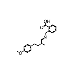 COc1ccc(CCC(C)C=NCc2ccccc2C(=O)O)cc1